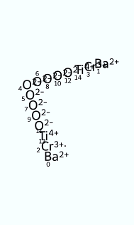 [Ba+2].[Ba+2].[Cr+3].[Cr+3].[O-2].[O-2].[O-2].[O-2].[O-2].[O-2].[O-2].[O-2].[O-2].[Ti+4].[Ti+4]